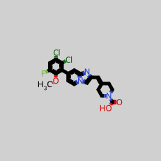 COc1c(F)cc(Cl)c(Cl)c1-c1ccn2cc(C=C3CCN(C(=O)O)CC3)nc2c1